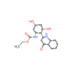 CCOC(=O)Nc1cc(O)cc(O)c1-c1cc(=O)c2ccccc2[nH]1